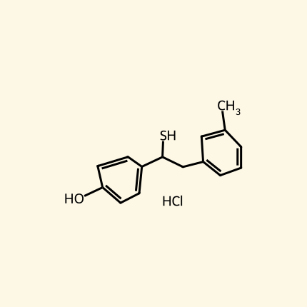 Cc1cccc(CC(S)c2ccc(O)cc2)c1.Cl